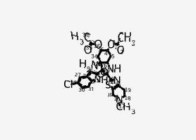 CC(=O)OC1CC(NC(=O)c2nc3c(s2)CN(C)CC3)C(N)(C(=O)c2cc3cc(Cl)ccc3[nH]2)CC1OC(C)=O